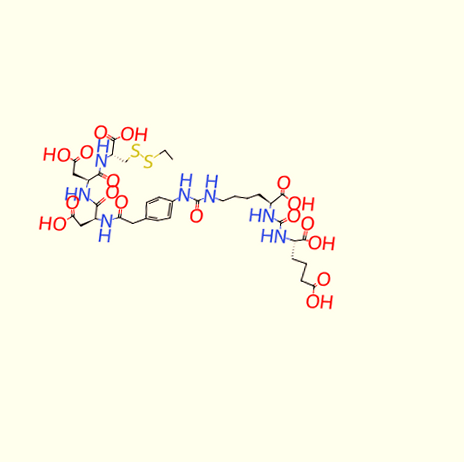 CCSSC[C@H](NC(=O)[C@H](CC(=O)O)NC(=O)[C@H](CC(=O)O)NC(=O)Cc1ccc(NC(=O)NCCCC[C@H](NC(=O)N[C@@H](CCCC(=O)O)C(=O)O)C(=O)O)cc1)C(=O)O